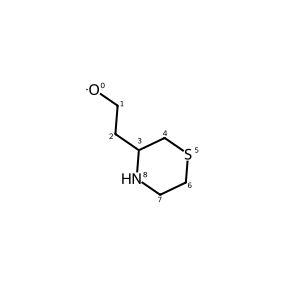 [O]CCC1CSCCN1